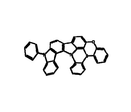 c1ccc(-n2c3ccccc3c3c2ccc2c4ccc5c6c4n(c23)-c2ccccc2B6c2ccccc2O5)cc1